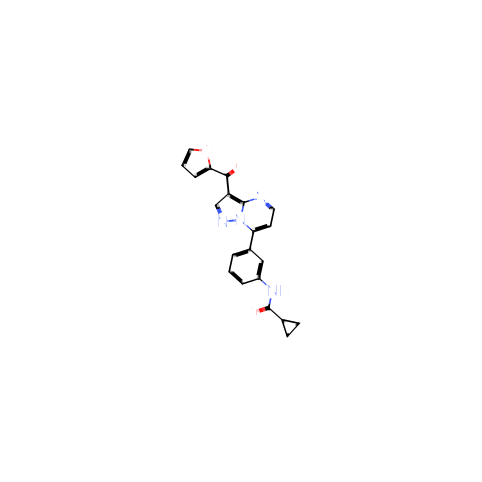 O=C(c1ccco1)c1cnn2c(-c3cccc(NC(=O)C4CC4)c3)ccnc12